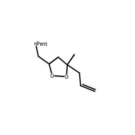 C=CCC1(C)CC(CCCCCC)OO1